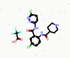 O=C(Nc1ccc(Cl)nn1)c1cc(Cl)ccc1NC(=O)C1CCNCC1.O=C(O)C(F)(F)F